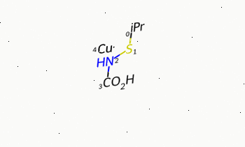 CC(C)SNC(=O)O.[Cu]